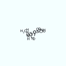 CCNc1n[nH]c2c(CN3CCCC3)cc(-c3ccc4c(c3F)CN(C3CCC(=O)NC3=O)C4=O)nc12